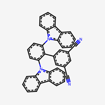 N#Cc1cc(C#N)cc(-c2c(-n3c4ccccc4c4ccccc43)cccc2-n2c3ccccc3c3ccccc32)c1